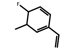 C=CC1=CC(C)C(F)C=C1